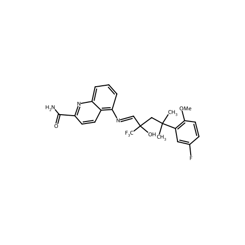 COc1ccc(F)cc1C(C)(C)CC(O)(C=Nc1cccc2nc(C(N)=O)ccc12)C(F)(F)F